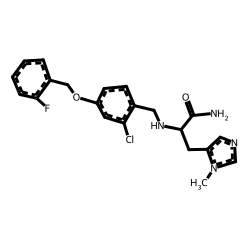 Cn1cncc1CC(NCc1ccc(OCc2ccccc2F)cc1Cl)C(N)=O